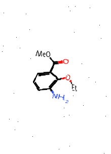 CCOc1c(N)cccc1C(=O)OC